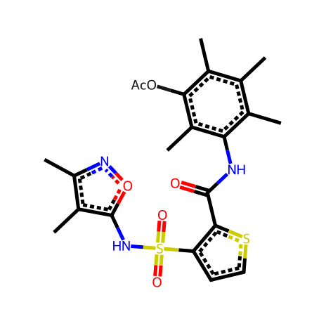 CC(=O)Oc1c(C)c(C)c(C)c(NC(=O)c2sccc2S(=O)(=O)Nc2onc(C)c2C)c1C